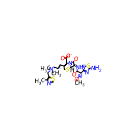 CO/N=C(\C(=O)N[C@@H]1C(=O)N2C(C(=O)[O-])=C(/C=C/C[N+](C)(C)Cc3scnc3C)CS[C@@H]12)c1nsc(N)n1